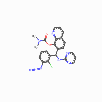 CN(C)C(=O)Oc1c(C(Nc2ncccn2)c2cccc(N=[N+]=[N-])c2Cl)ccc2cccnc12